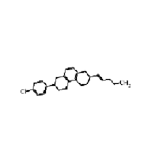 CCCC=CC1CCc2c(ccc3c2CCC(c2ccc(Cl)cc2)C3)C1